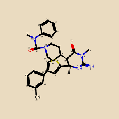 CN1C(=N)N[C@](C)(c2cc(-c3cccc(C#N)c3)cs2)[C@@H](C2CCN(C(=O)N(C)c3ccccc3)CC2)C1=O